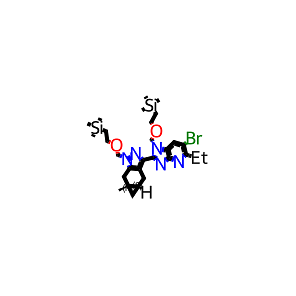 CCc1nc2nc(-c3nn(COCC[Si](C)(C)C)c4c3C[C@@H]3C[C@]3(C)C4)n(COCC[Si](C)(C)C)c2cc1Br